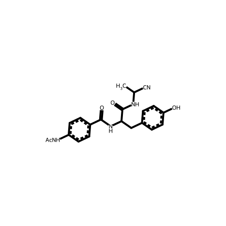 CC(=O)Nc1ccc(C(=O)NC(Cc2ccc(O)cc2)C(=O)NC(C)C#N)cc1